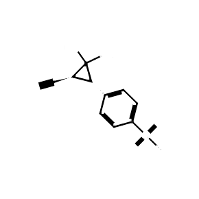 C#C[C@@H]1[C@@H](c2ccc(S(N)(=O)=O)cc2)C1(C)C